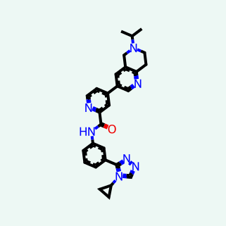 CC(C)N1CCc2ncc(-c3ccnc(C(=O)Nc4cccc(-c5nncn5C5CC5)c4)c3)cc2C1